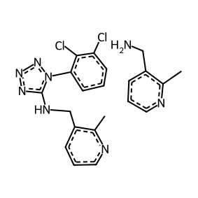 Cc1ncccc1CN.Cc1ncccc1CNc1nnnn1-c1cccc(Cl)c1Cl